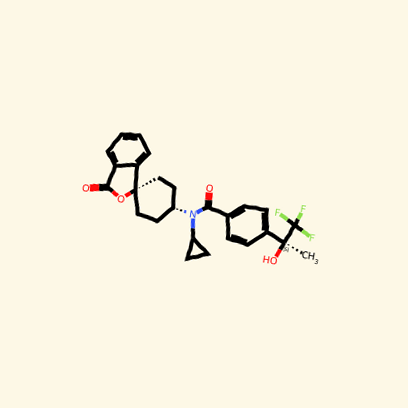 C[C@](O)(c1ccc(C(=O)N(C2CC2)[C@H]2CC[C@]3(CC2)OC(=O)c2ccccc23)cc1)C(F)(F)F